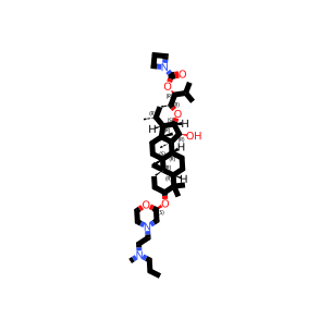 CCCN(C)CCN1CCO[C@@H](OC2CC[C@]34C[C@]35CC[C@]3(C)[C@@H]6[C@H](O[C@@H]([C@H](OC(=O)N7CCC7)C(C)C)C[C@H]6C)[C@H](O)[C@@]3(C)[C@@H]5CC[C@H]4C2(C)C)C1